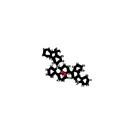 CC1(C)c2ccccc2-c2cc(N(c3ccc(-c4cc5sc6ccccc6c5c5ccccc45)cc3)c3ccccc3-c3ccccc3)ccc21